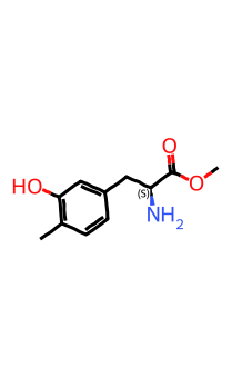 COC(=O)[C@@H](N)Cc1ccc(C)c(O)c1